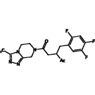 CC(=O)C(CC(=O)N1CCn2c(nnc2C(F)(F)F)C1)Cc1cc(F)c(F)cc1F